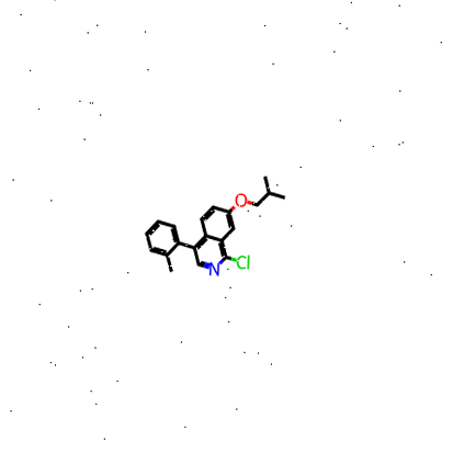 Cc1ccccc1-c1cnc(Cl)c2cc(OCC(C)C)ccc12